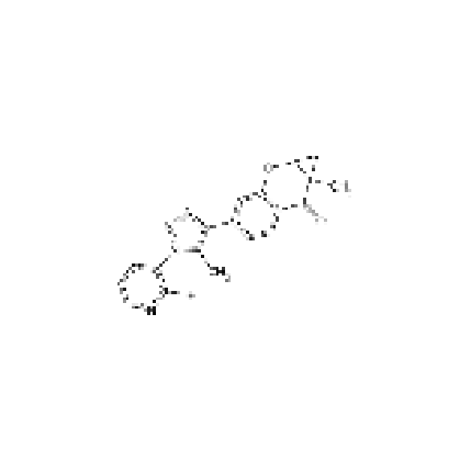 Cc1c(-c2ccc3c(c2)OC2CC2(C)C3=O)nnn1-c1cccnc1F